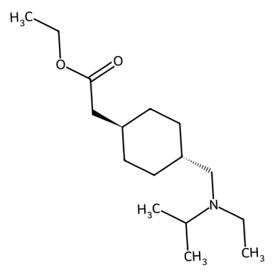 CCOC(=O)C[C@H]1CC[C@H](CN(CC)C(C)C)CC1